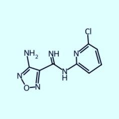 N=C(Nc1cccc(Cl)n1)c1nonc1N